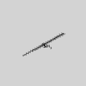 CCCCCCCCCCCCCCCCCCN([SiH3])CCCCCCCCCCCCCCCCCC